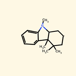 CN1c2ccccc2C2(C)C1C[C]CC2(C)C